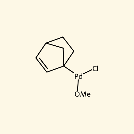 C[O][Pd]([Cl])[C]12C=CC(CC1)C2